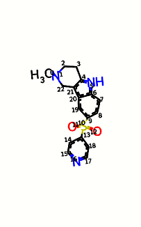 CN1CCc2[nH]c3ccc(S(=O)(=O)c4ccncc4)cc3c2C1